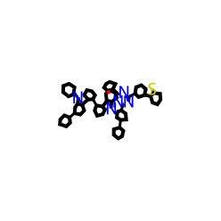 c1ccc(-c2ccc(-c3nc(-c4ccccc4)nc(-c4ccc5sc6ccccc6c5c4)n3)c(-n3c4ccccc4c4c(-c5cccc6c5c5ccc(-c7ccccc7)cc5n6-c5ccccc5)cccc43)c2)cc1